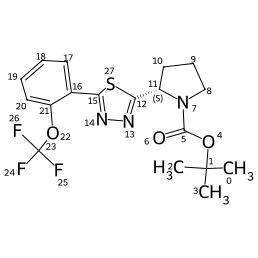 CC(C)(C)OC(=O)N1CCC[C@H]1c1nnc(-c2ccccc2OC(F)(F)F)s1